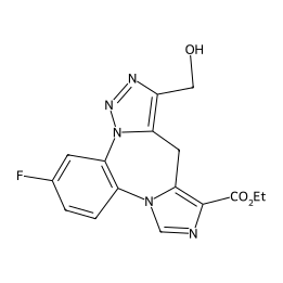 CCOC(=O)c1ncn2c1Cc1c(CO)nnn1-c1cc(F)ccc1-2